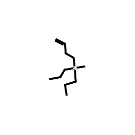 C=CCC[Si](C)(CCC)CCC